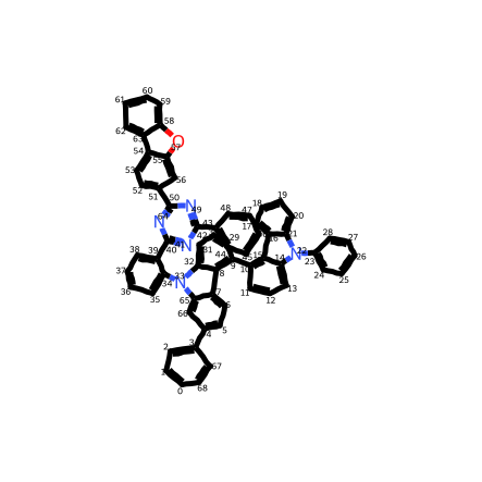 c1ccc(-c2ccc3c4c(-c5cccc6c5c5ccccc5n6-c5ccccc5)cccc4n(-c4ccccc4-c4nc(-c5ccccc5)nc(-c5ccc6c(c5)oc5ccccc56)n4)c3c2)cc1